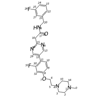 CN1CCN(CCOc2ccc(-c3cnc(CC(=O)NCc4cccc(F)c4)nc3)c(F)c2)CC1